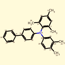 Cc1cc(C)c(N(c2ccc(-c3ccccc3)cc2)c2ccc(C)c(C)c2)c(C)c1